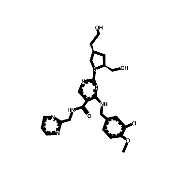 COc1ccc(CNc2nc(N3C[C@@H](CCO)C[C@H]3CO)ncc2C(=O)NCc2ncccn2)cc1Cl